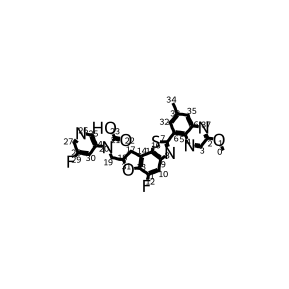 COc1cnc2c(-c3nc4cc(F)c5c(c4s3)CC(CN(C(=O)O)c3cncc(F)c3)O5)cc(C)cc2n1